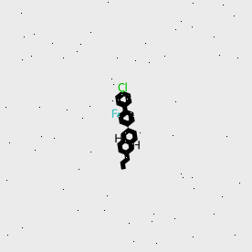 CCCC1CC[C@@H]2C[C@H](c3ccc(-c4ccc(Cl)cc4)c(F)c3)CC[C@@H]2C1